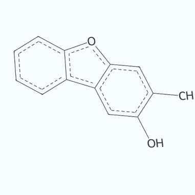 Cc1cc2oc3ccccc3c2cc1O